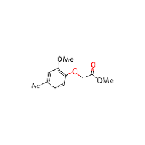 COC(=O)COc1ccc(C(C)=O)cc1OC